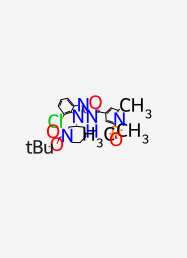 Cc1cc(C(=O)Nc2nc3cccc(Cl)c3n2[C@@H]2CCCCN(C(=O)OC(C)(C)C)C2)cc(P(C)(C)=O)n1